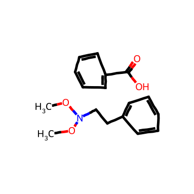 CON(CCc1ccccc1)OC.O=C(O)c1ccccc1